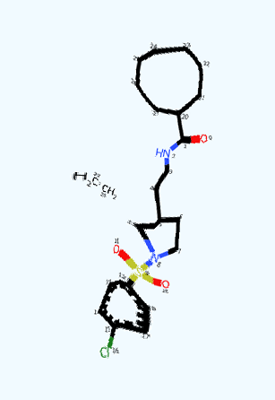 O=C(NCCC1CCN(S(=O)(=O)c2ccc(Cl)cc2)C1)[C]1CCCCCCC1.[CH2].[CH2]